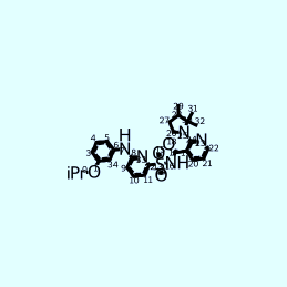 CC(C)Oc1cccc(Nc2cccc(S(=O)(=O)NC(=O)c3cccnc3N3CCC(C)C3(C)C)n2)c1